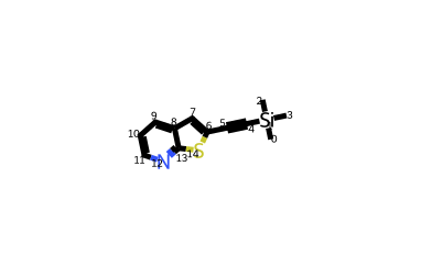 C[Si](C)(C)C#Cc1cc2cccnc2s1